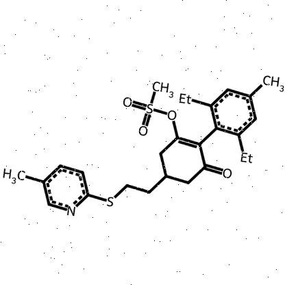 CCc1cc(C)cc(CC)c1C1=C(OS(C)(=O)=O)CC(CCSc2ccc(C)cn2)CC1=O